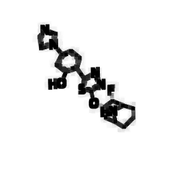 Oc1cc(-n2ccnc2)ccc1-c1nnc(O[C@H]2CC3CCCC(N3)[C@H]2F)s1